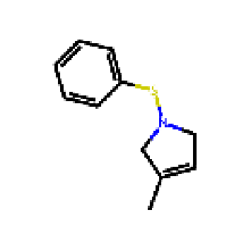 CC1=CCN(Sc2ccccc2)C1